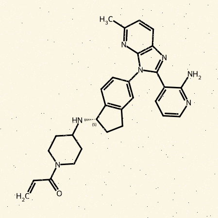 C=CC(=O)N1CCC(N[C@H]2CCc3cc(-n4c(-c5cccnc5N)nc5ccc(C)nc54)ccc32)CC1